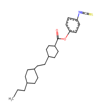 CCCC1CCC(CCC2CCC(C(=O)Oc3ccc(N=C=S)cc3)CC2)CC1